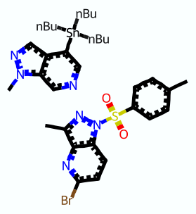 CCC[CH2][Sn]([CH2]CCC)([CH2]CCC)[c]1cncc2c1cnn2C.Cc1ccc(S(=O)(=O)n2nc(C)c3nc(Br)ccc32)cc1